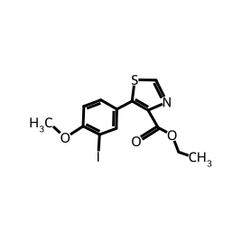 CCOC(=O)c1ncsc1-c1ccc(OC)c(I)c1